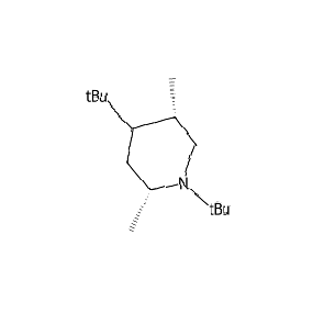 C[C@@H]1CN(C(C)(C)C)[C@H](C)CC1C(C)(C)C